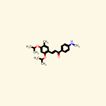 CNc1ccc(C(=O)C=Cc2cc(C)c(OC(C)C)cc2OC(C)C)cc1